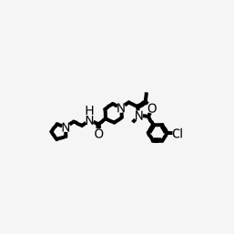 CC1=C(CN2CCC(C(=O)NCCN3CCCC3)CC2)N(C)C(c2cccc(Cl)c2)O1